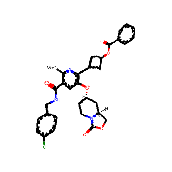 COc1nc(C2CC(OC(=O)c3ccccc3)C2)c(O[C@H]2CCN3C(=O)OC[C@@H]3C2)cc1C(=O)NCc1ccc(Cl)cc1